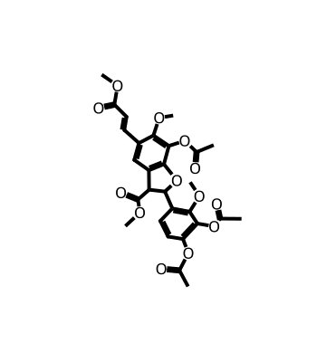 COC(=O)/C=C/c1cc2c(c(OC(C)=O)c1OC)OC(c1ccc(OC(C)=O)c(OC(C)=O)c1OC)C2C(=O)OC